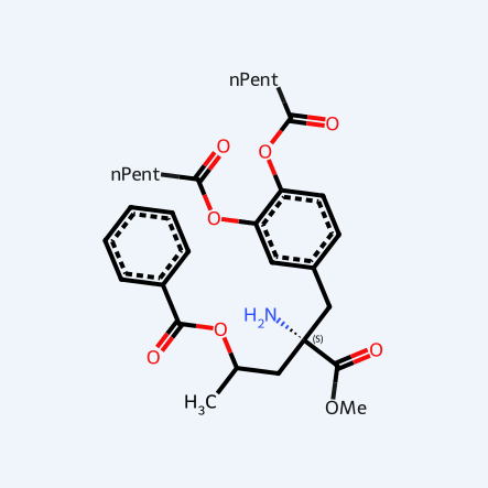 CCCCCC(=O)Oc1ccc(C[C@](N)(CC(C)OC(=O)c2ccccc2)C(=O)OC)cc1OC(=O)CCCCC